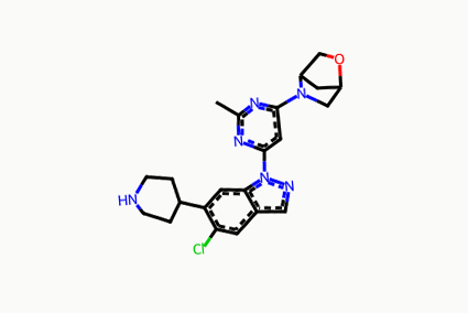 Cc1nc(N2CC3CC2CO3)cc(-n2ncc3cc(Cl)c(C4CCNCC4)cc32)n1